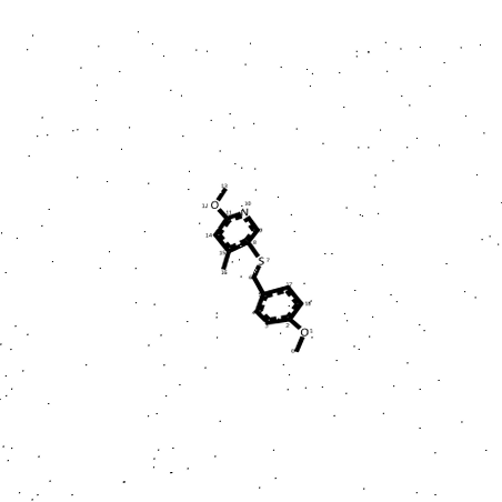 COc1ccc(CSc2cnc(OC)cc2C)cc1